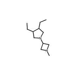 CCC1CN(C2CN(C)C2)CC1CC